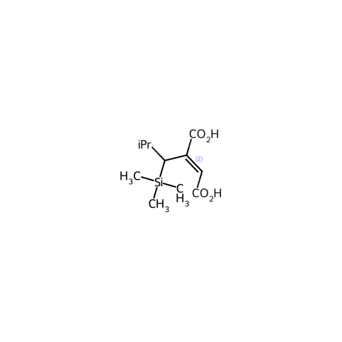 CC(C)C(/C(=C\C(=O)O)C(=O)O)[Si](C)(C)C